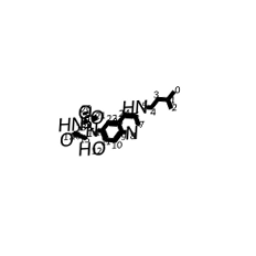 CC(C)CCNc1cnc2cc(O)c(N3CC(=O)NS3(=O)=O)cc2c1